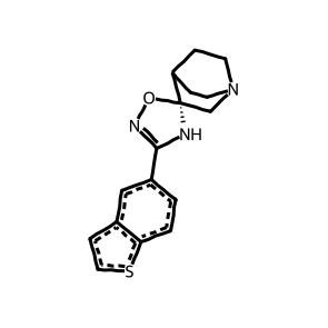 c1cc2cc(C3=NO[C@@]4(CN5CCC4CC5)N3)ccc2s1